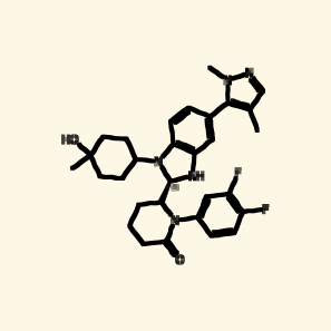 Cc1cnn(C)c1-c1ccc2c(c1)N[C@@H](C1CCCC(=O)N1c1ccc(F)c(F)c1)N2C1CCC(C)(O)CC1